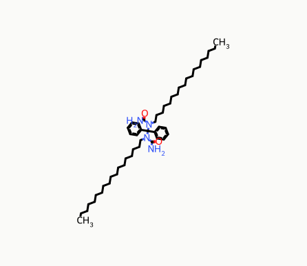 CCCCCCCCCCCCCCCCCCN(C(N)=O)C(c1ccccc1)(c1ccccc1)N(CCCCCCCCCCCCCCCCCC)C(N)=O